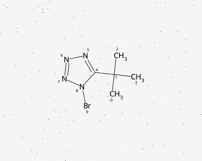 CC(C)(C)c1nnnn1Br